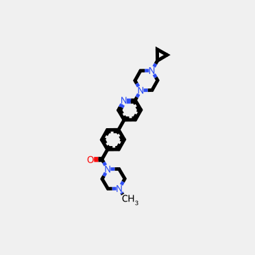 CN1CCN(C(=O)c2ccc(-c3ccc(N4CCN(C5CC5)CC4)nc3)cc2)CC1